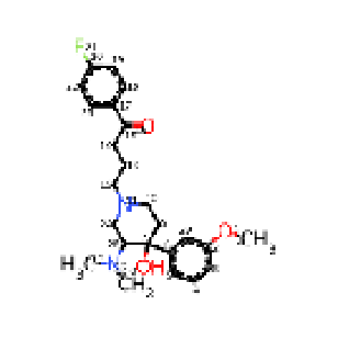 COc1cccc(C2(O)CCN(CCCC(=O)c3ccc(F)cc3)CC2N(C)C)c1